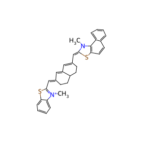 CN1/C(=C/C2=CC3=C/C(=C/c4sc5ccccc5[n+]4C)CCC3CC2)Sc2ccc3ccccc3c21